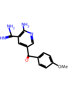 COc1ccc(C(=O)c2cnc(N)c(C(=N)N)c2)cc1